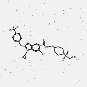 CCS(=O)(=O)N1CCC(CNC(=O)c2cc3cc(Cc4ccc(C(F)(F)F)cc4)n(C4CC4)c3cc2Cl)CC1